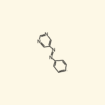 [c]1ccc(N=Nc2cncnc2)cc1